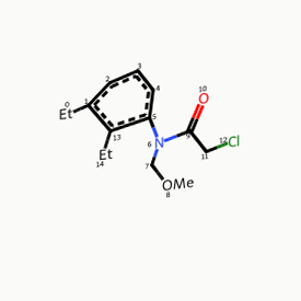 CCc1cccc(N(COC)C(=O)CCl)c1CC